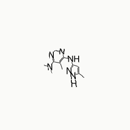 Cc1cc(Nc2ncnc(N(C)C)c2C)n[nH]1